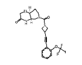 O=C1CO[C@H]2CCN(C(=O)N3CC(C#Cc4ccccc4OC(F)(F)F)C3)C[C@H]2N1